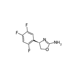 NC1=N[C@H](c2cc(F)c(F)cc2F)CO1